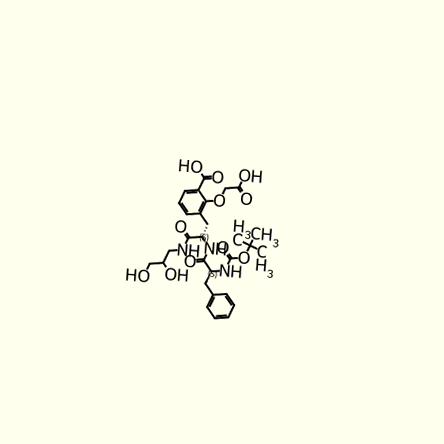 CC(C)(C)OC(=O)N[C@@H](Cc1ccccc1)C(=O)N[C@@H](Cc1cccc(C(=O)O)c1OCC(=O)O)C(=O)NCC(O)CO